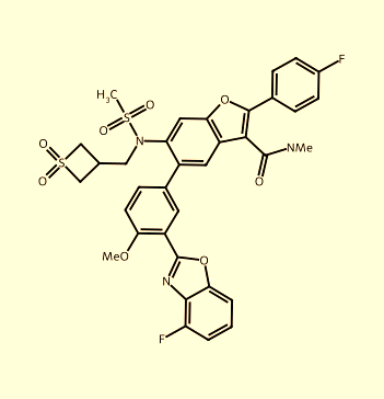 CNC(=O)c1c(-c2ccc(F)cc2)oc2cc(N(CC3CS(=O)(=O)C3)S(C)(=O)=O)c(-c3ccc(OC)c(-c4nc5c(F)cccc5o4)c3)cc12